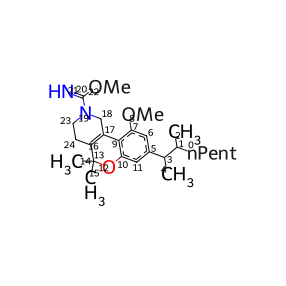 CCCCCC(C)C(C)c1cc(OC)c2c(c1)OC(C)(C)C1=C2CN(C(=N)OC)CC1